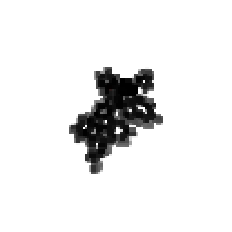 c1ccc(-c2nc(-c3ccccc3)nc(-c3c(-n4c5ccccc5c5ccc6c(c54)-c4ccccc4C64c5ccccc5-c5ccccc54)ccc4ccccc34)n2)cc1